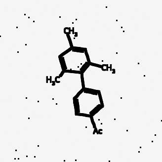 CC(=O)c1ccc(-c2c(C)cc(C)cc2C)cc1